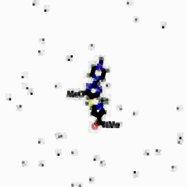 CCn1cc(C(=O)NC)cc1Sc1cnc(N2CCN(C)CC2)nc1OC